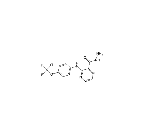 NNC(=O)c1nccnc1Nc1ccc(OC(F)(F)Cl)cc1